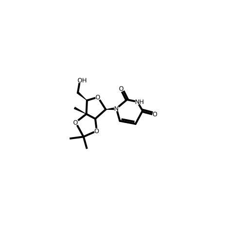 CC1(C)OC2[C@H](n3ccc(=O)[nH]c3=O)O[C@H](CO)[C@@]2(C)O1